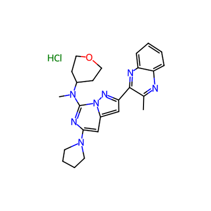 Cc1nc2ccccc2nc1-c1cc2cc(N3CCCC3)nc(N(C)C3CCOCC3)n2n1.Cl